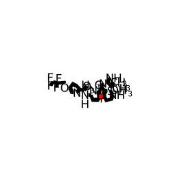 CC1(C)C(N)=N[C@](C)(c2nc(NC(=O)c3ccc(OCC(F)(F)C(F)F)cn3)ccc2F)[C@H]2CCCNS21O